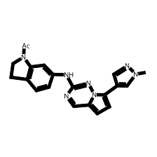 CC(=O)N1CCc2ccc(Nc3ncc4ccc(-c5cnn(C)c5)n4n3)cc21